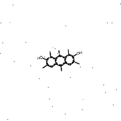 Cc1cc2c(C)c3cc(C)c(O)c(C)c3c(C)c2c(C)c1O